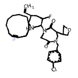 C=CC1CC(F)C(N2CC(=O)N(Cc3ccc(Cl)cc3)C(C3COC3)C2=O)NC12CC/C=C\CCCCCC2